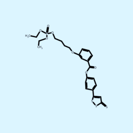 CCOP(=O)(OCC)OCCCCOc1cccc(C(=O)Oc2ccc(-c3cc(=S)ss3)cc2)c1